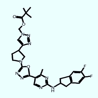 Cc1nc(NC2Cc3cc(F)c(F)cc3C2)ncc1-c1nnc(N2CCC(c3cn(COC(=O)C(C)(C)C)nn3)C2)o1